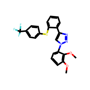 COc1cccc(-n2cc(-c3ccccc3Sc3ccc(C(F)(F)F)cc3)nn2)c1OC